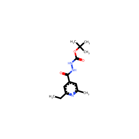 CCc1cc(C(=O)NNC(=O)OC(C)(C)C)cc(C)n1